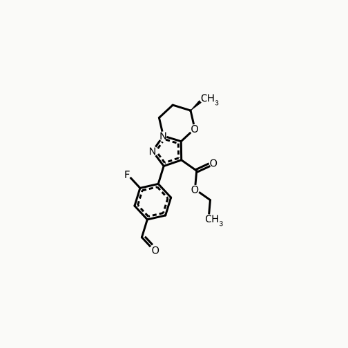 CCOC(=O)c1c(-c2ccc(C=O)cc2F)nn2c1O[C@H](C)CC2